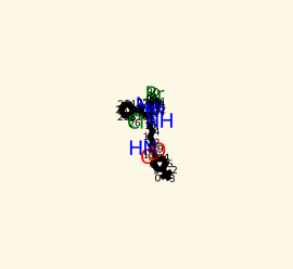 CC(C)(C)c1ccc(S(=O)(=O)NCCCCNc2cc(-c3ccccc3Cl)nc3c(Br)cnn23)cc1